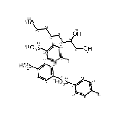 Cc1ccc(S(=O)(=O)O)cc1.Cc1ccc(S(=O)(=O)O)cc1.Cc1ccc(S(=O)(=O)O)cc1.OCCCCCC(O)CO